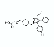 CCCc1nn(C[C@H]2CC[C@@H](COCC(=O)O)CC2)c(-c2ccc(Cl)cc2)c1-c1ccccc1